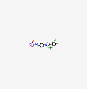 O=C1NOCC1NC(=S)c1ccc(N2CCC(c3ccc(Cl)c(Cl)c3)(C(F)(F)F)C2)cc1